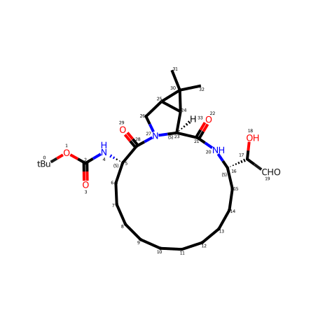 CC(C)(C)OC(=O)N[C@H]1CCCCCCCCCC[C@@H](C(O)C=O)NC(=O)[C@@H]2C3C(CN2C1=O)C3(C)C